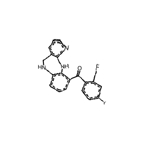 O=C(c1ccc(F)cc1F)c1cccc2c1Nc1ncccc1CN2